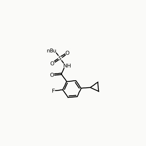 CCCCS(=O)(=O)NC(=O)c1cc(C2CC2)ccc1F